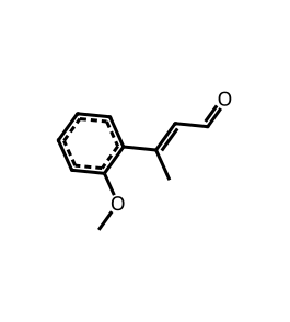 COc1ccccc1C(C)=CC=O